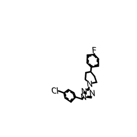 Fc1ccc(C2CCN(c3ncn(Cc4ccc(Cl)cc4)n3)CC2)cc1